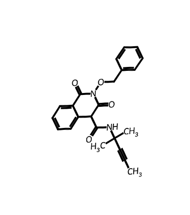 CC#CC(C)(C)NC(=O)C1C(=O)N(OCc2ccccc2)C(=O)c2ccccc21